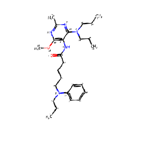 CCCN(CCCCC(=O)Nc1c(OC)nc(C)nc1N(CCC)CCC)c1ccccc1